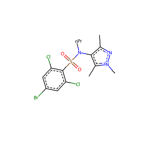 CCCN(c1c(C)nn(C)c1C)S(=O)(=O)c1c(Cl)cc(Br)cc1Cl